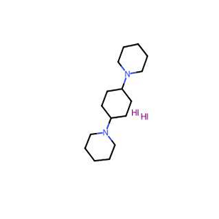 C1CCN(C2CCC(N3CCCCC3)CC2)CC1.I.I